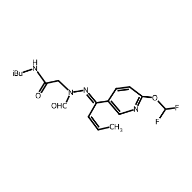 C/C=C\C(=N/N(C=O)CC(=O)NC(C)CC)c1ccc(OC(F)F)nc1